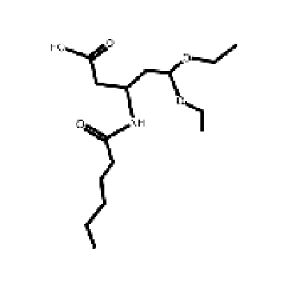 CCCCCC(=O)NC(CC(=O)O)CC(OCC)OCC